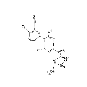 N#Cc1cc(-c2c(Cl)cc(Nc3n[nH]c(N)n3)cc2Cl)ccc1Cl